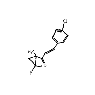 CC1(C(=O)C=Cc2ccc(Cl)cc2)CC1(F)F